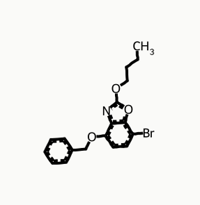 CCCCOc1nc2c(OCc3ccccc3)ccc(Br)c2o1